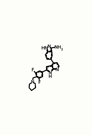 Nc1n[nH]c2ccc(-c3ccnc4[nH]c(-c5cc(F)c(CN6CCCCC6)c(F)c5)cc34)cc12